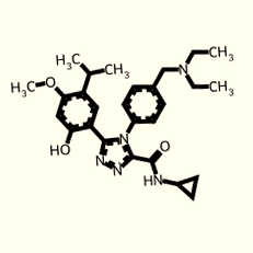 CCN(CC)Cc1ccc(-n2c(C(=O)NC3CC3)nnc2-c2cc(C(C)C)c(OC)cc2O)cc1